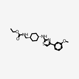 CCOC(=O)NC[C@H]1CC[C@H](Nc2nc(-c3cccc(OC)c3)cs2)CC1